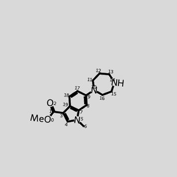 COC(=O)c1cn(C)c2cc(N3CCCNCC3)ccc12